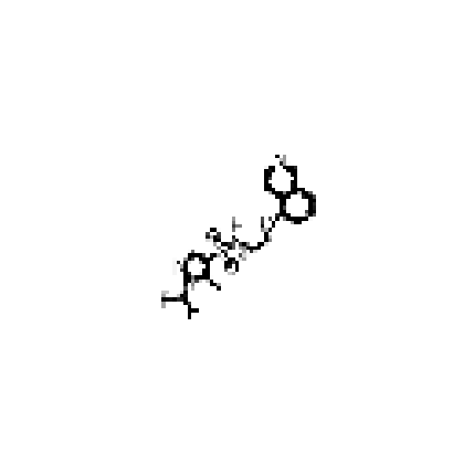 Cc1c(S(=O)(=O)N[C@@H](C)COc2cccc3cnccc23)cnn1C(F)F